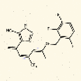 C=C(/C=C(\C=C(/C)OCc1c(F)ccc(F)c1F)C(F)(F)F)c1nn[nH]c1C#N